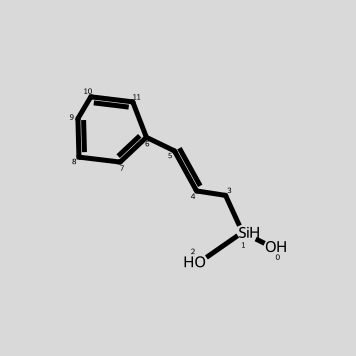 O[SiH](O)CC=Cc1ccccc1